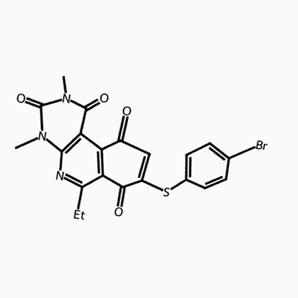 CCc1nc2c(c3c1C(=O)C(Sc1ccc(Br)cc1)=CC3=O)c(=O)n(C)c(=O)n2C